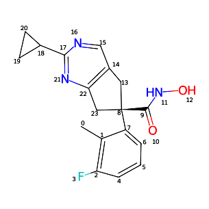 Cc1c(F)cccc1[C@@]1(C(=O)NO)Cc2cnc(C3CC3)nc2C1